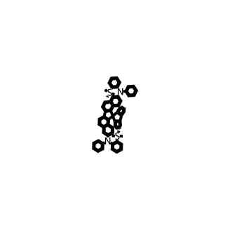 CS(C)(C)c1ccccc1N(c1ccccc1)c1ccc2c3c(ccc2c1)-c1ccc2cc(N(c4ccccc4)c4ccccc4S(C)(C)C)ccc2c1C31c2ccccc2-c2ccccc21